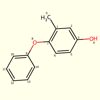 Cc1cc(O)ccc1Oc1cc[c]cc1